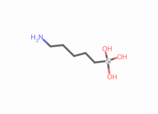 NCCCCC[Si](O)(O)O